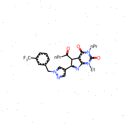 CCCC(=O)C1C(c2cnn(Cc3cccc(C(F)(F)F)c3)c2)=Nc2c1c(=O)n(CCC)c(=O)n2CC